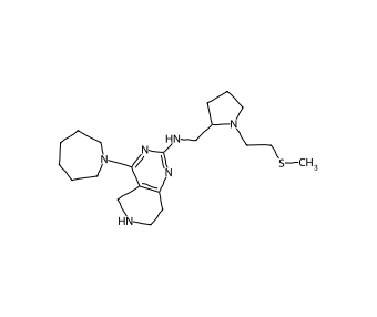 CSCCN1CCCC1CNc1nc2c(c(N3CCCCCC3)n1)CNCC2